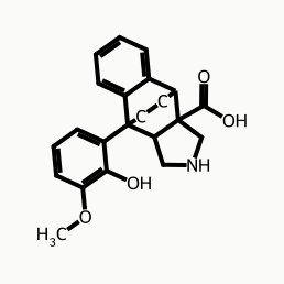 COc1cccc(C23CCC(c4ccccc42)C2(C(=O)O)CNCC32)c1O